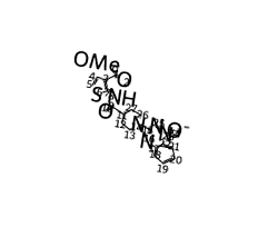 COC(=O)c1ccsc1NC(=O)C1CCN(c2nc3ccccc3[n+]([O-])n2)CC1